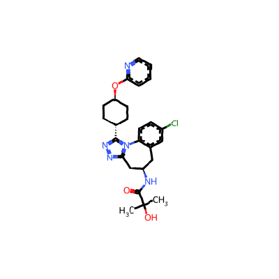 CC(C)(O)C(=O)N[C@@H]1Cc2cc(Cl)ccc2-n2c(nnc2[C@H]2CC[C@H](Oc3ccccn3)CC2)C1